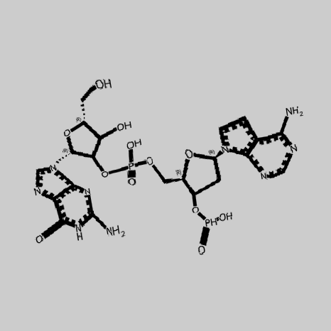 Nc1nc2c(ncn2[C@@H]2O[C@H](CO)C(O)C2OP(=O)(O)OC[C@H]2O[C@@H](n3ccc4c(N)ncnc43)CC2O[PH](=O)O)c(=O)[nH]1